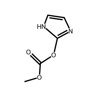 COC(=O)Oc1ncc[nH]1